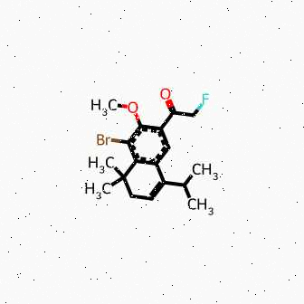 COc1c(C(=O)CF)cc2c(c1Br)C(C)(C)CC=C2C(C)C